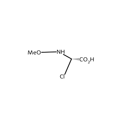 CON[C@@H](Cl)C(=O)O